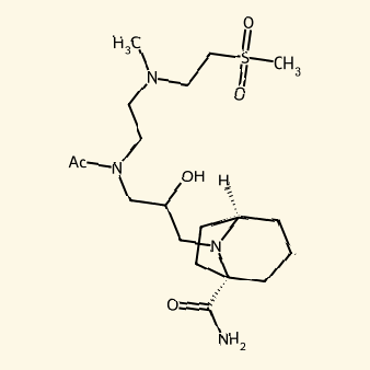 CC(=O)N(CCN(C)CCS(C)(=O)=O)CC(O)CN1[C@@H]2C[CH]C[C@@]1(C(N)=O)CC2